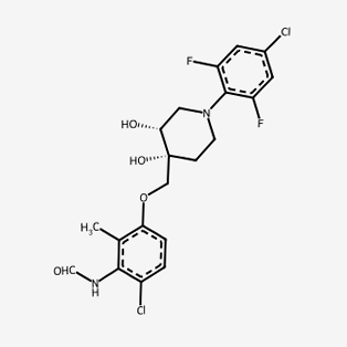 Cc1c(OC[C@]2(O)CCN(c3c(F)cc(Cl)cc3F)C[C@H]2O)ccc(Cl)c1NC=O